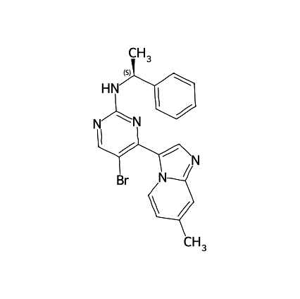 Cc1ccn2c(-c3nc(N[C@@H](C)c4ccccc4)ncc3Br)cnc2c1